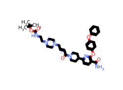 CC(C)(C)OC(=O)NCCN1CCN(C/C=C/C(=O)N2CCC(c3ccc(C(N)=O)c(Oc4ccc(Oc5ccccc5)cc4)n3)CC2)CC1